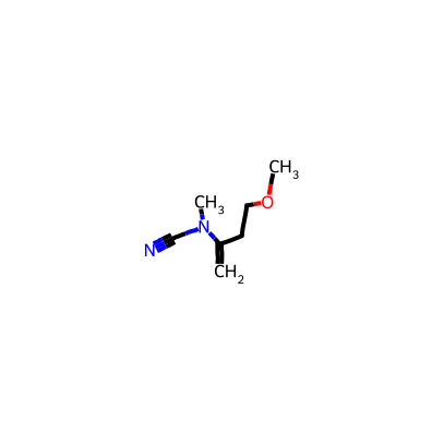 C=C(CCOC)N(C)C#N